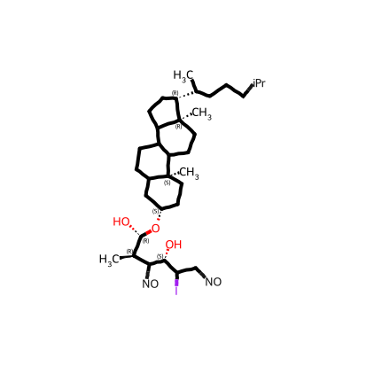 CC(C)CCCC(C)[C@H]1CCC2C3CCC4C[C@@H](O[C@@H](O)[C@H](C)C(N=O)[C@H](O)C(I)CN=O)CC[C@]4(C)C3CC[C@@]21C